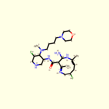 CCCN(CCCCN1CCOCC1)C1C(F)CNCC1NC(=O)C1/C(C)=N/CC(F)C/C=C(/C(C)C)NC1N